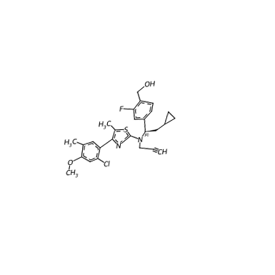 C#CCN(c1nc(-c2cc(C)c(OC)cc2Cl)c(C)s1)[C@H](CC1CC1)c1ccc(CO)c(F)c1